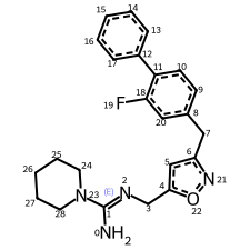 N/C(=N\Cc1cc(Cc2ccc(-c3ccccc3)c(F)c2)no1)N1CCCCC1